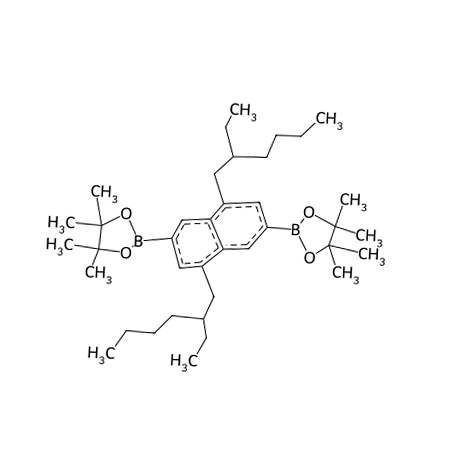 CCCCC(CC)Cc1cc(B2OC(C)(C)C(C)(C)O2)cc2c(CC(CC)CCCC)cc(B3OC(C)(C)C(C)(C)O3)cc12